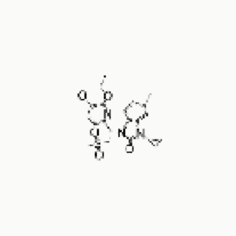 CCOc1nc([C@@H](CS(C)(=O)=O)n2c(=O)n(C3CC3)c3cc(C)ccc32)ccc1OC